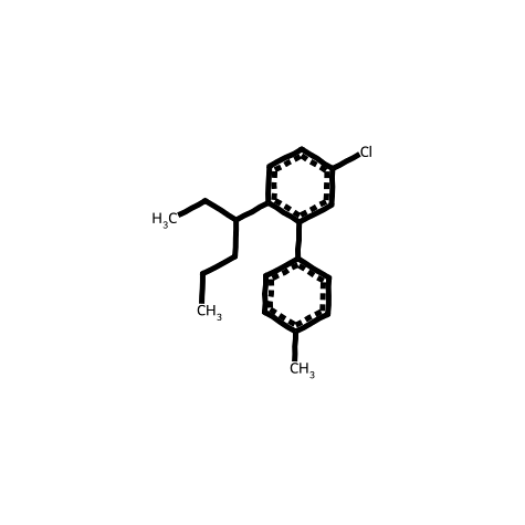 CCCC(CC)c1ccc(Cl)cc1-c1ccc(C)cc1